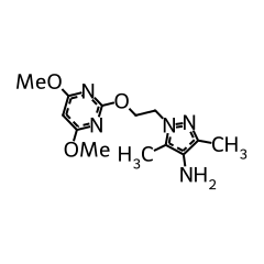 COc1cc(OC)nc(OCCn2nc(C)c(N)c2C)n1